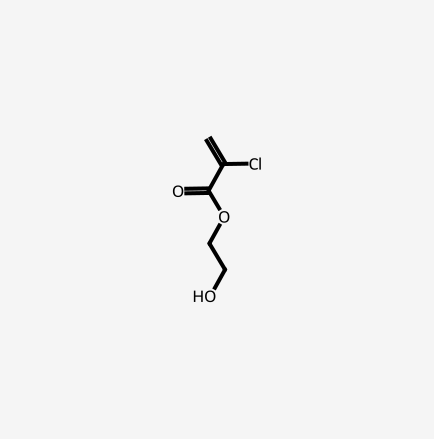 C=C(Cl)C(=O)OCCO